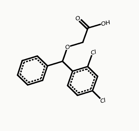 O=C(O)COC(c1ccccc1)c1ccc(Cl)cc1Cl